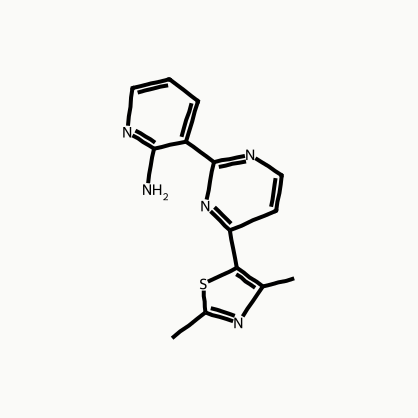 Cc1nc(C)c(-c2ccnc(-c3cccnc3N)n2)s1